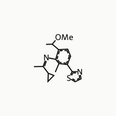 COC(C)c1ccc(-c2nccs2)c(C)c1/N=C(/C)C1CC1